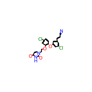 N#C/C=C/c1cc(Cl)cc(Oc2ccc(Cl)cc2OCCn2ccc(=O)[nH]c2=O)c1